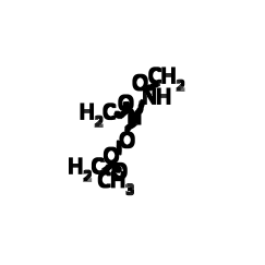 C=CC(=O)NCCN(CCOCCOC(=O)C(=C)C)C(=O)C=C